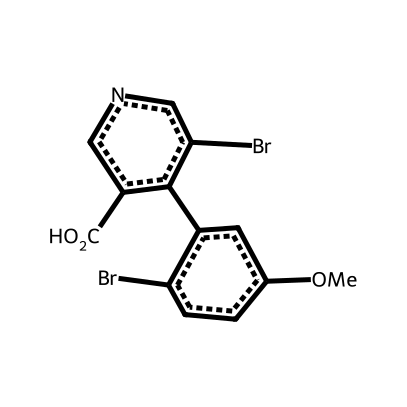 COc1ccc(Br)c(-c2c(Br)cncc2C(=O)O)c1